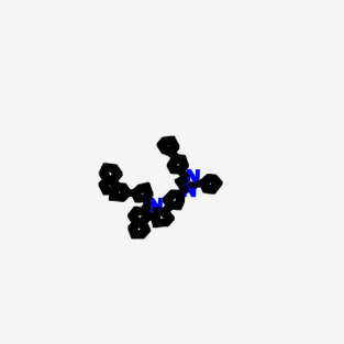 c1ccc(-c2ccc(-c3cc(-c4ccc(-c5cccc6c5nc(-c5cccc(-c7ccc8ccc9ccccc9c8c7)c5)c5ccc7ccccc7c56)cc4)nc(-c4ccccc4)n3)cc2)cc1